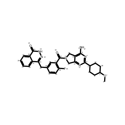 COC1CCC(c2nc(N)c3c(n2)CN(C(=O)c2cc(Cc4n[nH]c(=O)c5ccccc45)ccc2F)C3)CC1